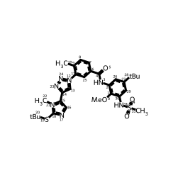 COc1c(NC(=O)c2ccc(C)c(-n3cc(-c4cnc(SC(C)(C)C)n4C)nn3)c2)cc(C(C)(C)C)cc1NS(C)(=O)=O